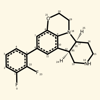 Fc1cccc(-c2cc3c4c(c2)[C@@H]2CNCC[C@@H]2N4CCO3)c1F